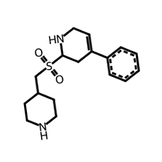 O=S(=O)(CC1CCNCC1)C1CC(c2ccccc2)=CCN1